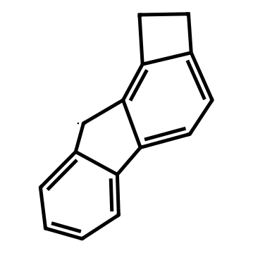 [CH]1c2ccccc2-c2ccc3c(c21)CC3